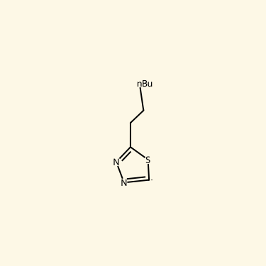 CCCCCCc1nn[c]s1